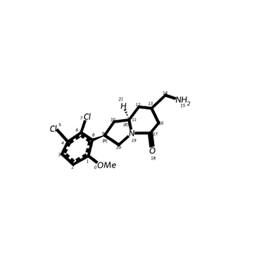 COc1ccc(Cl)c(Cl)c1[C@H]1C[C@H]2CC(CN)CC(=O)N2C1